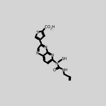 C=CCNC(=O)N(S)c1ccc2ncc(-c3csc(C(=O)O)c3)nc2n1